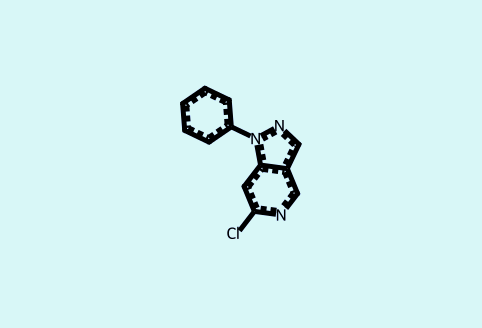 Clc1cc2c(cn1)cnn2-c1ccccc1